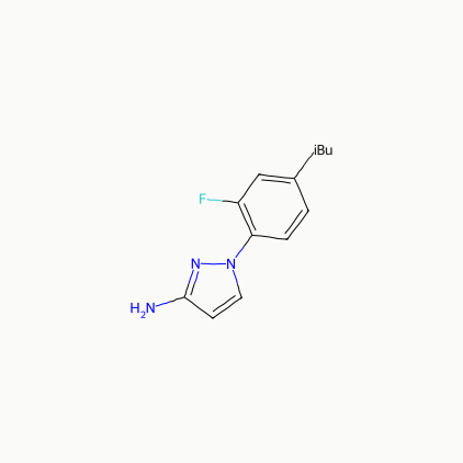 CCC(C)c1ccc(-n2ccc(N)n2)c(F)c1